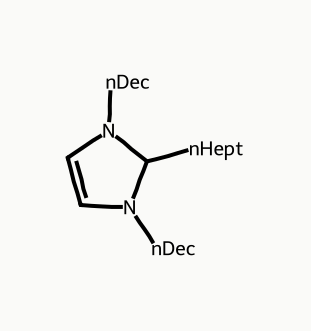 CCCCCCCCCCN1C=CN(CCCCCCCCCC)C1CCCCCCC